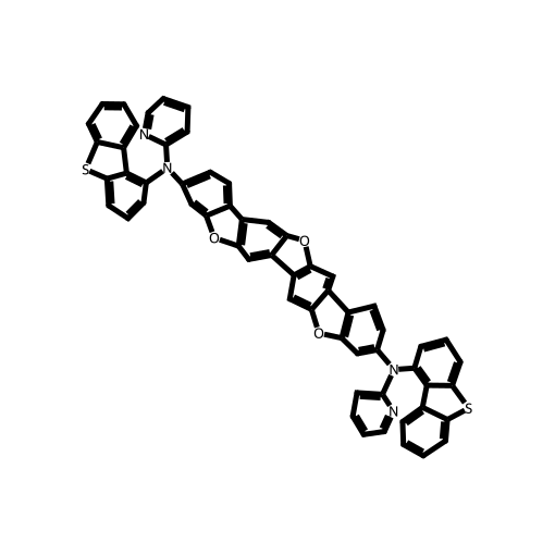 c1ccc(N(c2ccc3c(c2)oc2cc4c(cc23)oc2cc3c(cc24)oc2cc(N(c4ccccn4)c4cccc5sc6ccccc6c45)ccc23)c2cccc3sc4ccccc4c23)nc1